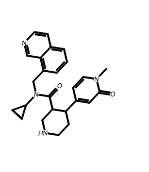 Cn1ccc(C2CCNCC2C(=O)N(Cc2cccc3ccncc23)C2CC2)cc1=O